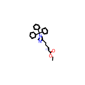 CCOC(=O)/C=C/CCc1cn(C(c2ccccc2)(c2ccccc2)c2ccccc2)cn1